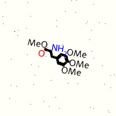 COC(=O)C(N)Cc1cc(OC)c(OC)c(OC)c1